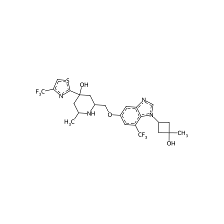 CC1CC(O)(c2nc(C(F)(F)F)cs2)CC(COc2cc(C(F)(F)F)c3c(c2)ncn3C2CC(C)(O)C2)N1